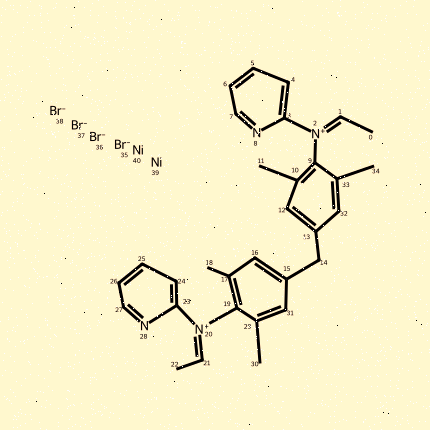 CC=[N+](c1ccccn1)c1c(C)cc(Cc2cc(C)c([N+](=CC)c3ccccn3)c(C)c2)cc1C.[Br-].[Br-].[Br-].[Br-].[Ni].[Ni]